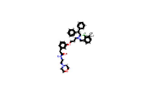 O=C(Cc1cccc(OCCCN(Cc2cccc(C(F)(F)F)c2Cl)CC(c2ccccc2)c2ccccc2)c1)NCCN1CCOCC1